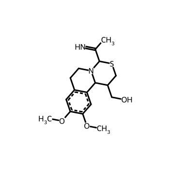 COc1cc2c(cc1OC)C1C(CO)CSC(C(C)=N)N1CC2